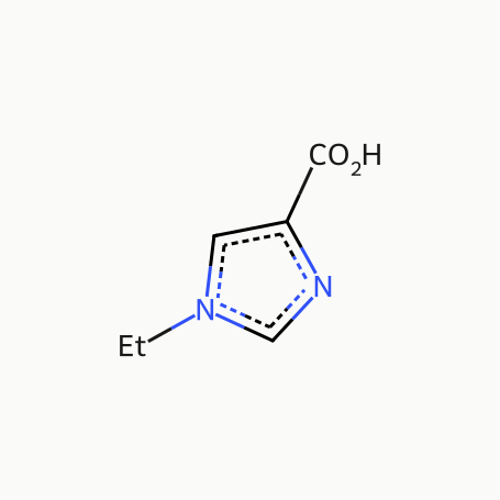 CCn1cnc(C(=O)O)c1